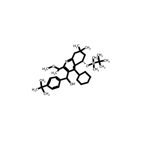 COC(C)c1nc2c(c(C3CCCCC3)c1C(O)c1ccc(C(C)(C)C)cc1)[C@@H](O[Si](C)(C)C(C)(C)C)CC(C)(C)C2